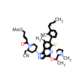 C=C/C=C\c1cccc(-c2c(C)cc3c(nc(O[C@@H](C)[C@@H]4CCCN4C)c4cnn([C@H]5CCN(C(=O)/C=C/COC)[C@H](CC#N)C5)c43)c2F)c1C#N